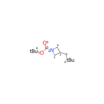 CC(C)(C)CC1CN(C(=O)OC(C)(C)C)C1